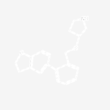 c1ccc(-c2ccc3c(c2)CCO3)c(COC2CCNC2)c1